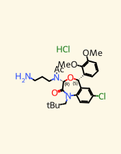 COc1cccc([C@H]2O[C@@H](N(CCCN)C(C)=O)C(=O)N(CC(C)(C)C)c3ccc(Cl)cc32)c1OC.Cl